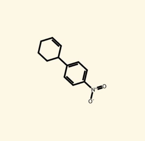 O=[N+]([O-])c1ccc(C2C=CCCC2)cc1